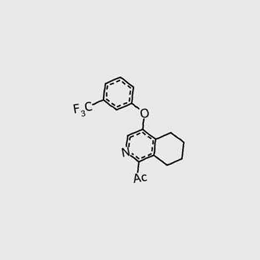 CC(=O)c1ncc(Oc2cccc(C(F)(F)F)c2)c2c1CCCC2